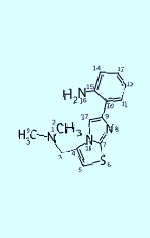 CN(C)Cc1csc2nc(-c3ccccc3N)cn12